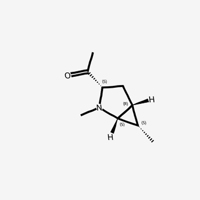 CC(=O)[C@@H]1C[C@@H]2[C@H](C)[C@@H]2N1C